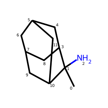 CC1(N)C2CC3CC(C2)CC1C3